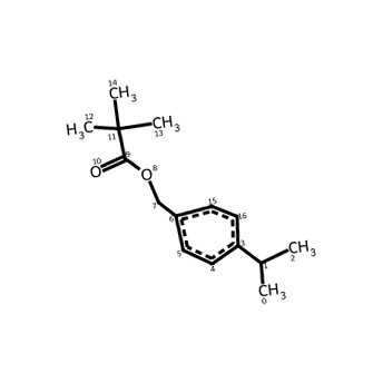 CC(C)c1ccc(COC(=O)C(C)(C)C)cc1